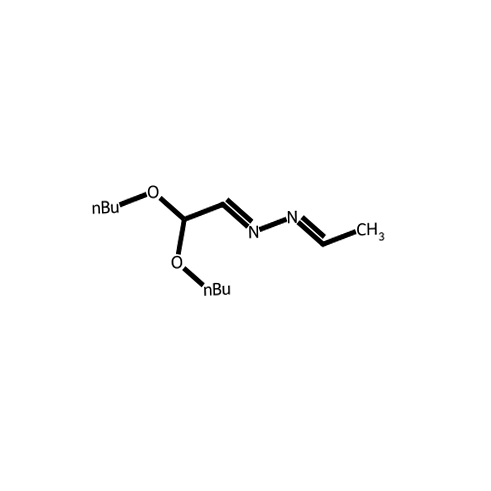 CC=NN=CC(OCCCC)OCCCC